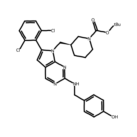 CC(C)(C)OC(=O)N1CCC[C@@H](Cn2c(-c3c(Cl)cccc3Cl)cc3cnc(NCc4ccc(O)cc4)nc32)C1